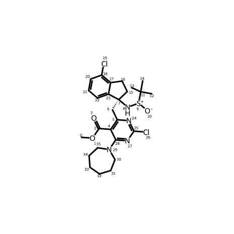 COC(=O)c1c(C[C@@]2(N[S+]([O-])C(C)(C)C)CCc3c(Cl)cccc32)nc(Cl)nc1N1CCCCCC1